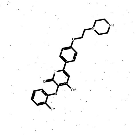 CC(C)c1ccccc1Sc1c(O)cc(-c2ccc(OCCN3CCNCC3)cc2)oc1=O